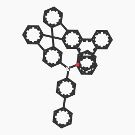 c1ccc(-c2ccc(N(c3ccccc3)c3ccc4c(c3)C3(c5ccccc5-4)c4ccccc4-c4cc5c6ccccc6c6ccccc6c5cc43)cc2)cc1